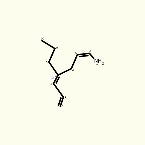 C=C/C=C(\C/C=C\N)CCC